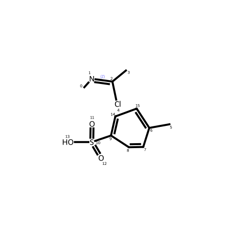 C/N=C(/C)Cl.Cc1ccc(S(=O)(=O)O)cc1